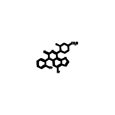 CC(C)c1ccccc1-n1c(=O)nc(N2CCN(C(=O)O)C[C@@H]2C)c2c3occc3c(Br)cc21